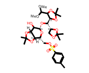 COC(OC)C1OC(C)(C)O[C@H]1C(O[C@@H]1O[C@H](COS(=O)(=O)c2ccc(C)cc2)[C@@H]2OC(C)(C)O[C@@H]2C1O)[C@H]1COC(C)(C)O1